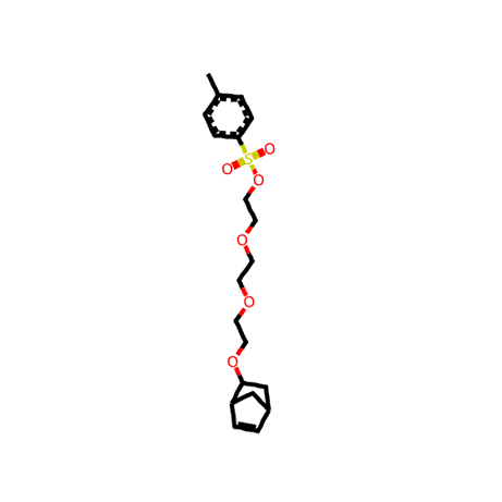 Cc1ccc(S(=O)(=O)OCCOCCOCCOC2CC3C=CC2C3)cc1